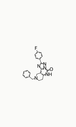 O=c1[nH]c2c(c3nc(-c4ccc(F)cc4)nn13)CN(Cc1ccccc1)CC2